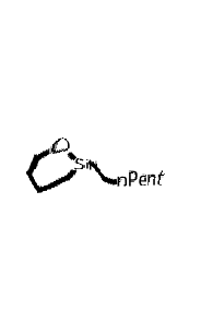 CCCCCCC[SiH]1CCCCO1